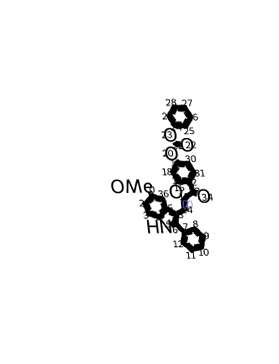 COc1ccc2[nH]c(-c3ccccc3)c(/C=C3\Oc4cc(OC(=O)Oc5ccccc5)ccc4C3=O)c2c1